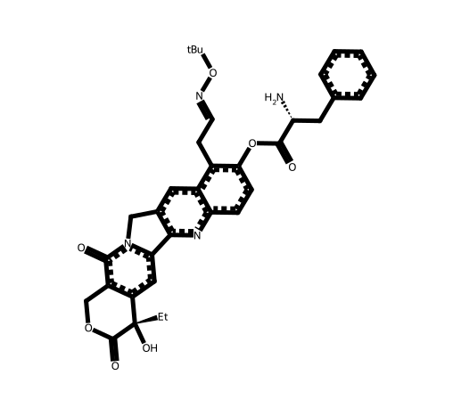 CC[C@@]1(O)C(=O)OCc2c1cc1n(c2=O)Cc2cc3c(C/C=N/OC(C)(C)C)c(OC(=O)[C@H](N)Cc4ccccc4)ccc3nc2-1